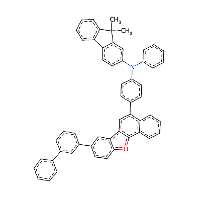 CC1(C)c2ccccc2-c2ccc(N(c3ccccc3)c3ccc(-c4cc5c6cc(-c7cccc(-c8ccccc8)c7)ccc6oc5c5ccccc45)cc3)cc21